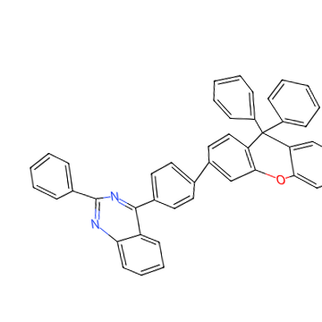 c1ccc(-c2nc(-c3ccc(-c4ccc5c(c4)Oc4ccccc4C5(c4ccccc4)c4ccccc4)cc3)c3ccccc3n2)cc1